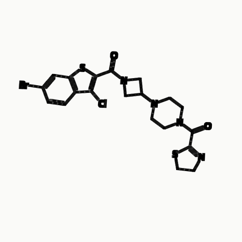 O=C(C1=NCCS1)N1CCN(C2CN(C(=O)c3sc4cc(Br)ccc4c3Cl)C2)CC1